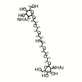 CC(=O)NC1C(O)[C@@H](O)C(CO)O[C@H]1OCCOCCOCCNCCOCCOCCO[C@@H]1OC(CO)[C@H](O)C(O)C1NC(C)=O